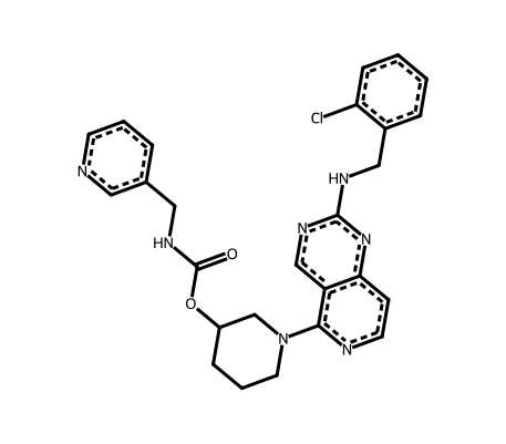 O=C(NCc1cccnc1)OC1CCCN(c2nccc3nc(NCc4ccccc4Cl)ncc23)C1